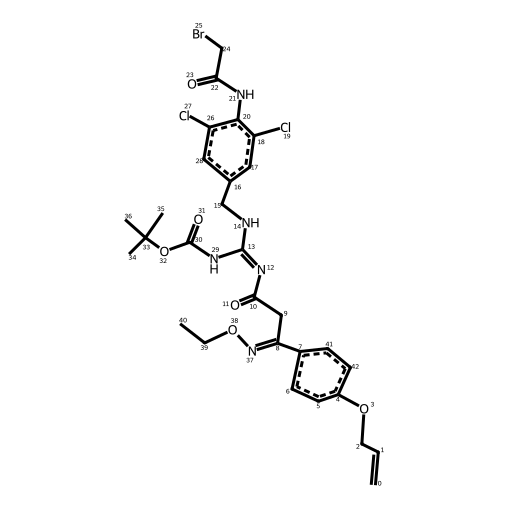 C=CCOc1ccc(C(CC(=O)/N=C(/NCc2cc(Cl)c(NC(=O)CBr)c(Cl)c2)NC(=O)OC(C)(C)C)=NOCC)cc1